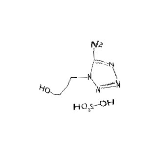 O=S(=O)(O)O.OCCn1nnn[c]1[Na]